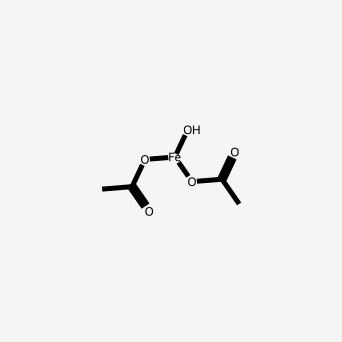 CC(=O)[O][Fe]([OH])[O]C(C)=O